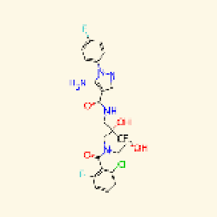 Nc1c(C(=O)NCC(O)(CN(CCO)C(=O)c2c(F)cccc2Cl)C(F)(F)F)cnn1-c1ccc(F)cc1